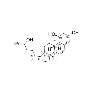 CC(C)C(O)CC[C@@H](C)[C@H]1CC[C@H]2[C@@H]3C=CC4=C[C@@H](O)C[C@H](O)[C@]4(C)[C@H]3CC[C@]12C